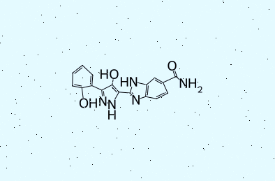 NC(=O)c1ccc2nc(-c3[nH]nc(-c4ccccc4O)c3O)[nH]c2c1